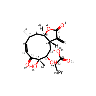 C=C1C(=O)O[C@@H]2C[C@@H](C)/C=C\C(=O)[C@@](C)(O)[C@H](O)[C@@H](OC(=O)CC(C)C)[C@@H]12